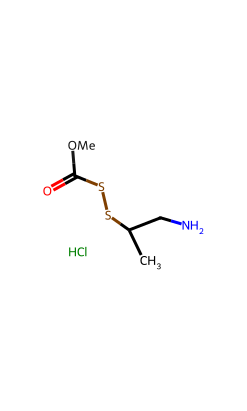 COC(=O)SSC(C)CN.Cl